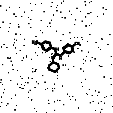 Cc1ccc(NC(=NC2CCCCC2)Nc2ccc(C)cc2)cc1